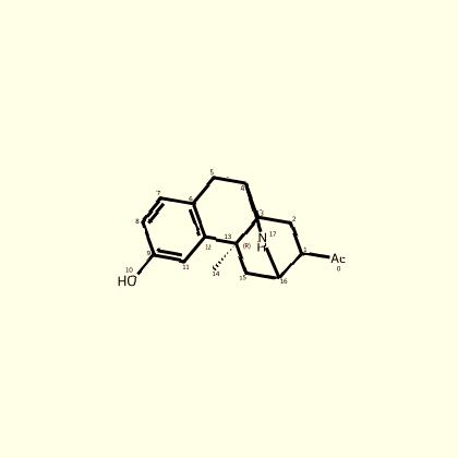 CC(=O)C1CC2C3Cc4ccc(O)cc4[C@]2(C)CC1N3